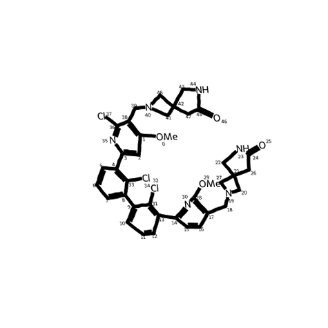 COc1cc(-c2cccc(-c3cccc(-c4ccc(CN5CC6(CNC(=O)C6)C5)c(OC)n4)c3Cl)c2Cl)nc(Cl)c1CN1CC2(CNC(=O)C2)C1